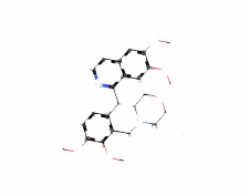 COc1cc2ccnc(Cc3ccc(OC)c(OC)c3CN3CCOCC3)c2cc1OC.Cl.Cl